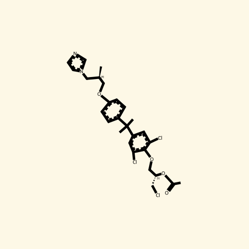 CC(=O)O[C@H](CCl)COc1c(Cl)cc(C(C)(C)c2ccc(OC[C@H](C)Cn3ccnc3)cc2)cc1Cl